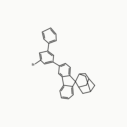 Brc1cc(-c2ccccc2)cc(-c2ccc3c(c2)-c2ccccc2C32C3CC4CC(C3)CC2C4)c1